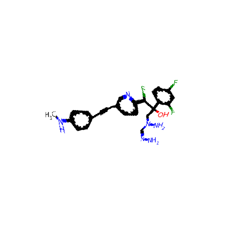 CNc1ccc(C#Cc2ccc(C(F)C(O)(CN(N)/C=N\N)c3ccc(F)cc3F)nc2)cc1